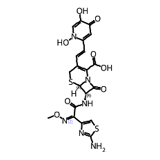 CO/N=C(\C(=O)N[C@@H]1C(=O)N2C(C(=O)O)=C(C=Cc3cc(=O)c(O)cn3O)CS[C@H]12)c1csc(N)n1